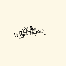 CC(F)(F)c1cccc(-c2nc3ccc([N+](=O)[O-])cc3n2O)c1